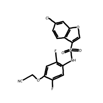 N#CCOc1cc(F)c(NS(=O)(=O)c2coc3cc(Cl)ccc23)cc1F